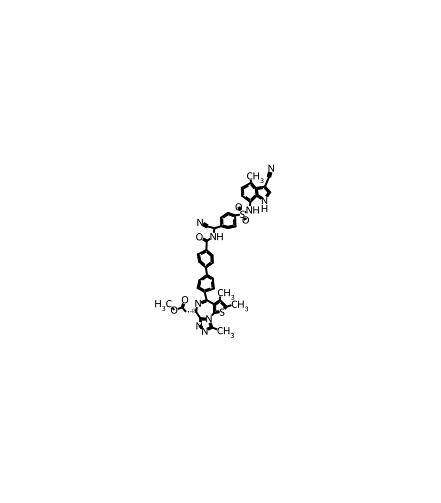 COC(=O)C[C@@H]1N=C(c2ccc(-c3ccc(C(=O)NC(C#N)c4ccc(S(=O)(=O)Nc5ccc(C)c6c(C#N)c[nH]c56)cc4)cc3)cc2)c2c(sc(C)c2C)-n2c(C)nnc21